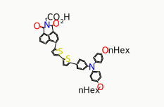 CCCCCCOc1ccc(N(c2ccc(OCCCCCC)cc2)c2ccc(-c3ccc(-c4ccc(-c5ccc6c7c(cccc57)C(=O)N(CC(=O)O)C6=O)s4)s3)cc2)cc1